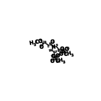 COC(=O)CCC(=O)N(CCOS(C)(=O)=O)CCOS(C)(=O)=O